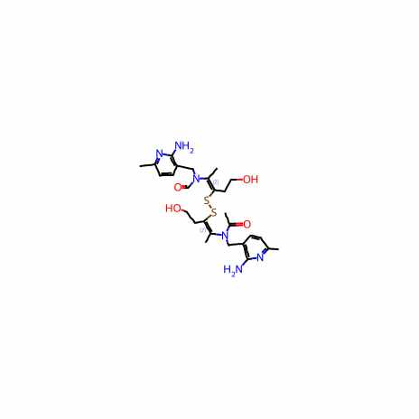 CC(=O)N(Cc1ccc(C)nc1N)/C(C)=C(/CCO)SS/C(CCO)=C(/C)N(C=O)Cc1ccc(C)nc1N